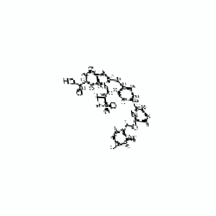 Cc1ccc(COc2cccc(-c3ccc(Cc4nc5ccc(C(=O)O)cc5n4CC4CCS4(=O)=O)cc3)n2)c(F)c1